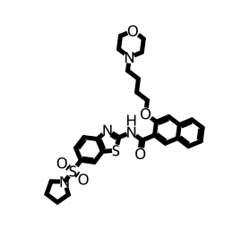 O=C(Nc1nc2ccc(S(=O)(=O)N3CCCC3)cc2s1)c1cc2ccccc2cc1OCCCCN1CCOCC1